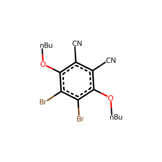 CCCCOc1c(Br)c(Br)c(OCCCC)c(C#N)c1C#N